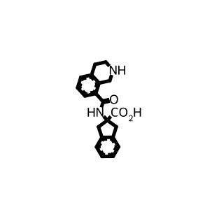 O=C(NC1(C(=O)O)Cc2ccccc2C1)c1cccc2c1CNCC2